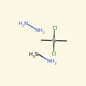 C[Si](C)(Cl)Cl.NN.N[SiH3]